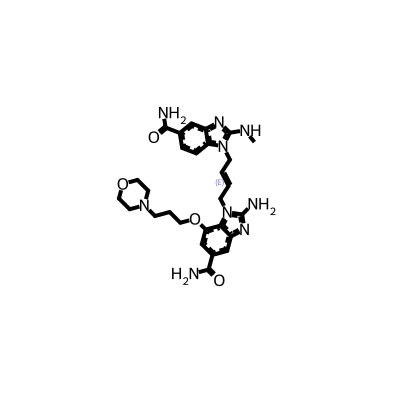 CNc1nc2cc(C(N)=O)ccc2n1C/C=C/Cn1c(N)nc2cc(C(N)=O)cc(OCCCN3CCOCC3)c21